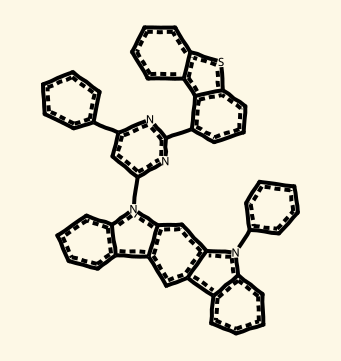 c1ccc(-c2cc(-n3c4ccccc4c4cc5c6ccccc6n(-c6ccccc6)c5cc43)nc(-c3cccc4sc5ccccc5c34)n2)cc1